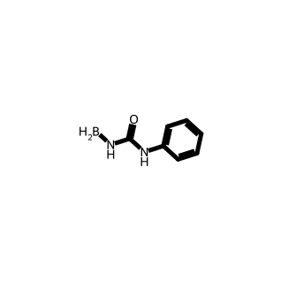 BNC(=O)Nc1ccccc1